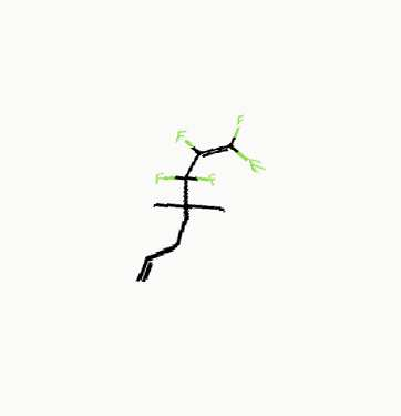 C=CCC(C)(C)C(F)(F)C(F)=C(F)F